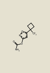 NC(=O)Oc1cc(C2(C(F)(F)F)CCC2)on1